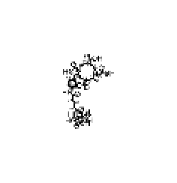 CC1CN(C(=O)O)CC(Cc2ccc(NC(=O)CCCC(=O)NC(P(=O)(O)O)P(=O)(O)O)cc2)N(C(=O)O)CCN(C(=O)O)CCN1CC(=O)O